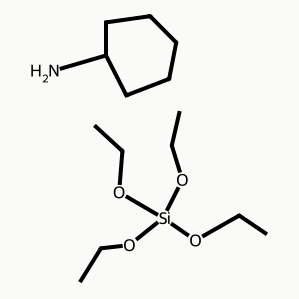 CCO[Si](OCC)(OCC)OCC.NC1CCCCC1